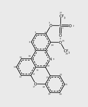 O=S(=O)(Oc1ccc2c(nc3c4c(cccc42)Oc2ccccc2-3)c1OC(F)(F)F)C(F)(F)F